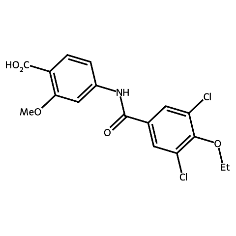 CCOc1c(Cl)cc(C(=O)Nc2ccc(C(=O)O)c(OC)c2)cc1Cl